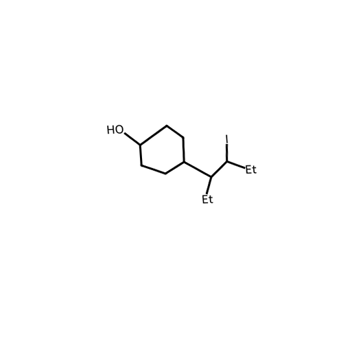 CCC(I)C(CC)C1CCC(O)CC1